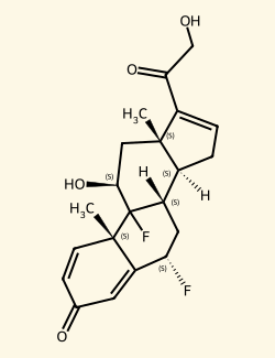 C[C@]12C=CC(=O)C=C1[C@@H](F)C[C@H]1[C@@H]3CC=C(C(=O)CO)[C@@]3(C)C[C@H](O)C12F